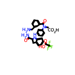 NC(=O)C1Cc2ccccc2N1.NCc1cccc(C(=O)N(CC(=O)O)c2ccccc2)c1.O=C(O)C(F)(F)F